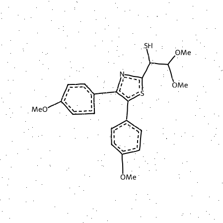 COc1ccc(-c2nc(C(S)C(OC)OC)sc2-c2ccc(OC)cc2)cc1